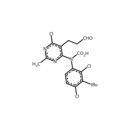 Cc1nc(Cl)c(CCC=O)c(N(C(=O)O)c2ccc(Cl)c(C(C)(C)C)c2Cl)n1